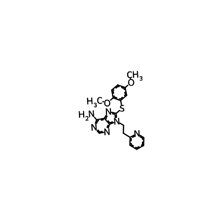 COc1ccc(OC)c(Sc2nc3c(N)ncnc3n2CCc2ccccn2)c1